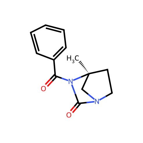 C[C@]12CCN(C1)C(=O)N2C(=O)c1ccccc1